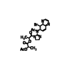 CC(=O)OC(C)C(=O)OC(C)C(=O)N1CCN=C1N(C(C)=O)c1ccc2nccnc2c1Br